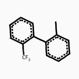 Cc1ccccc1-c1ccc[c]c1C(F)(F)F